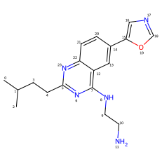 CC(C)CCc1nc(NCCN)c2cc(-c3cnco3)ccc2n1